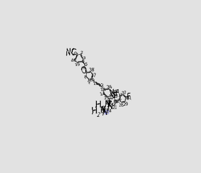 N#Cc1ccc(COc2ccc(C#Cc3ccc(C(F)(F)[C@H](CN(N)/C=N\N)c4ccc(F)cc4F)nc3)cc2)cc1